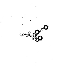 CCOC(=O)CN(Cc1ccc(OCc2ccccc2)cc1)S(=O)(=O)N1CCc2ccccc21